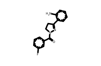 Nc1ccccc1C1=NN(C(=O)c2cccc(F)c2)CC1